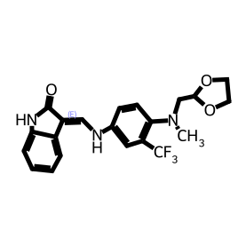 CN(CC1OCCO1)c1ccc(N/C=C2/C(=O)Nc3ccccc32)cc1C(F)(F)F